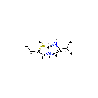 CCc1cn2cc(C(C)C)nc2s1